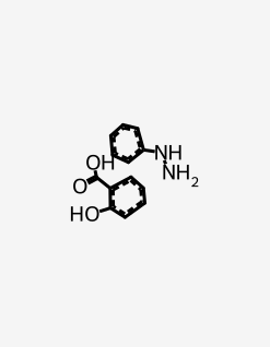 NNc1ccccc1.O=C(O)c1ccccc1O